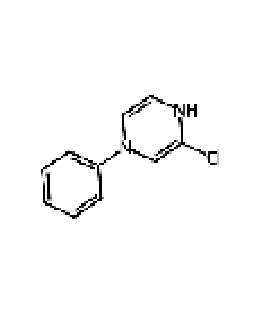 ClC1=CN(c2ccccc2)C=CN1